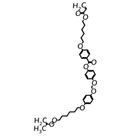 C=CC(=O)OCCCCCCOc1ccc(C(=O)Oc2ccc(OCOc3ccc(OCCCCCCOOC(=C)C)cc3)cc2)cc1